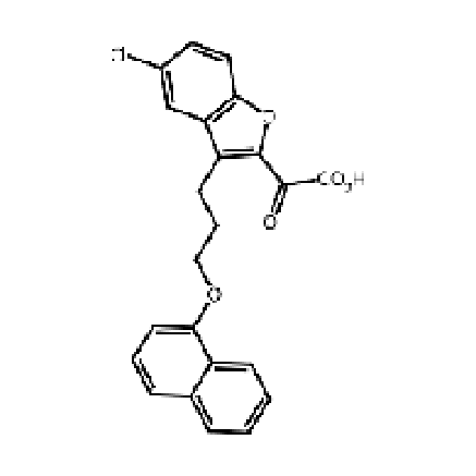 O=C(O)C(=O)c1oc2ccc(Cl)cc2c1CCCOc1cccc2ccccc12